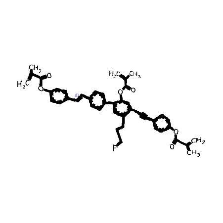 C=C(C)C(=O)Oc1ccc(C#Cc2cc(OC(=O)C(=C)C)c(-c3ccc(/C=C/c4ccc(OC(=O)C(=C)C)cc4)cc3)cc2CCCF)cc1